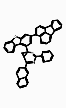 c1ccc(C2=NC3(c4cc(-c5ccc6c7c(cccc57)-c5ccccc5-6)cc5oc6ccccc6c45)CC3C(c3ccc4ccccc4c3)=N2)cc1